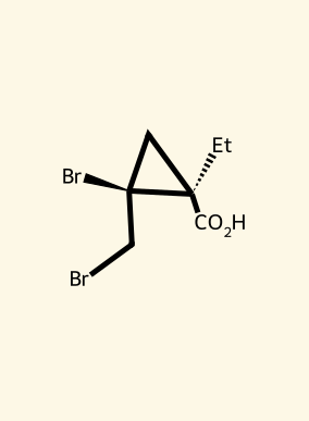 CC[C@@]1(C(=O)O)C[C@@]1(Br)CBr